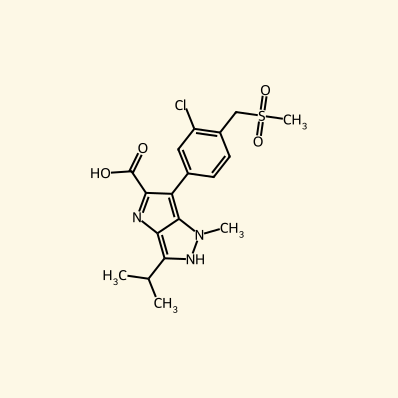 CC(C)c1[nH]n(C)c2c(-c3ccc(CS(C)(=O)=O)c(Cl)c3)c(C(=O)O)nc1-2